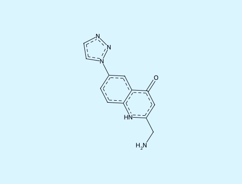 NCc1cc(=O)c2cc(-n3ccnn3)ccc2[nH]1